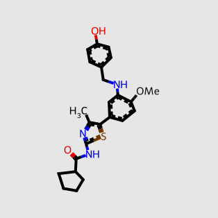 COc1ccc(-c2sc(NC(=O)C3CCCC3)nc2C)cc1NCc1ccc(O)cc1